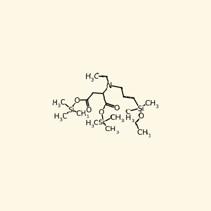 CCO[Si](C)(C)CCCN(CC)C(CC(=O)O[Si](C)(C)C)C(=O)O[Si](C)(C)C